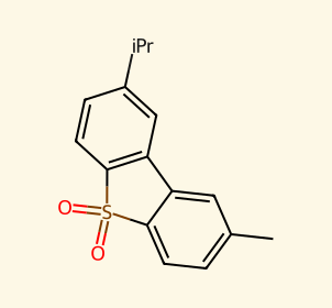 Cc1ccc2c(c1)-c1cc(C(C)C)ccc1S2(=O)=O